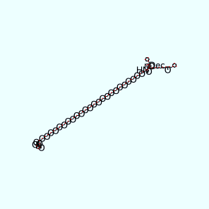 CCCCCCCCCCCC(CCCCCCCCCCC(=O)CCc1ccccc1)(C(=O)CCc1ccccc1)C(=O)NCCOCCOCCOCCOCCOCCOCCOCCOCCOCCOCCOCCOCCOCCOCCOCCOCCOCCOCCOCCOCCOCCOCCOCCOCCC(=O)ON1C(=O)CCC1=O